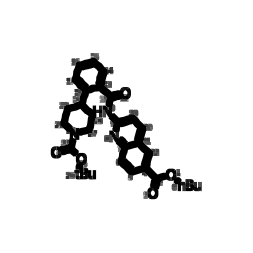 CCCCOC(=O)c1ccc2nc(NC(=O)c3ccccc3C3CCN(C(=O)OC(C)(C)C)CC3)ccc2c1